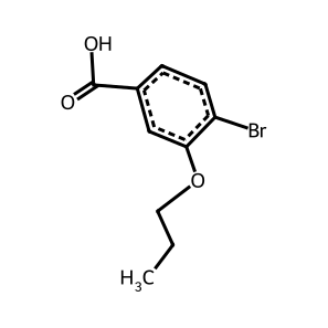 CCCOc1cc(C(=O)O)ccc1Br